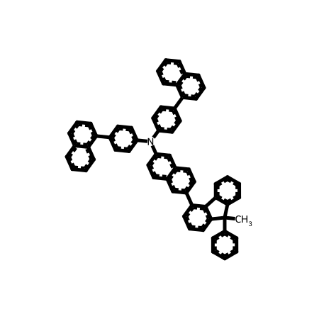 CC1(c2ccccc2)c2ccccc2-c2c(-c3ccc4cc(N(c5ccc(-c6cccc7ccccc67)cc5)c5ccc(-c6cccc7ccccc67)cc5)ccc4c3)cccc21